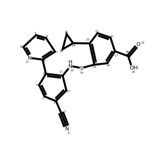 N#Cc1ccc(-c2ccccn2)c(NSc2cc(C(=O)O)ccc2C2CC2)c1